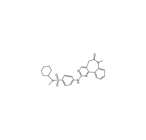 CN1C(=O)Cc2cnc(Nc3ccc(S(=O)(=O)N(C)C4CCCCC4)cc3)nc2-c2ccccc21